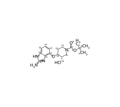 CC(C)(C)OC(=O)N1CCC(Oc2cccc3[nH]c(N)nc23)CC1.Cl